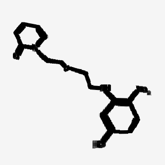 O=c1ccccn1CCOCCNc1cc(O)ccc1[N+](=O)[O-]